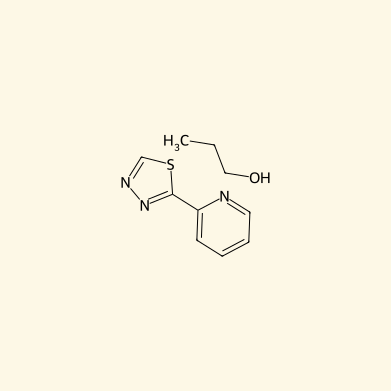 CCCO.c1ccc(-c2nncs2)nc1